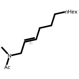 CCCCCCCCC/C=C/CN(C)C(C)=O